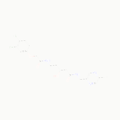 Cc1cnc(CNC(=O)CC(O)CCNC(=O)COc2ccc(Cl)c(F)c2)cn1